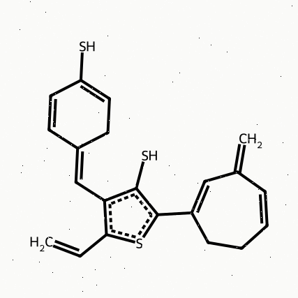 C=Cc1sc(C2=CC(=C)C=CCC2)c(S)c1/C=C1/C=CC(S)=CC1